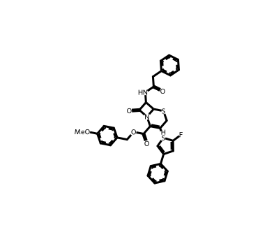 COc1ccc(COC(=O)C2=C([SH]3C=C(c4ccccc4)C=C3F)CSC3C(NC(=O)Cc4ccccc4)C(=O)N23)cc1